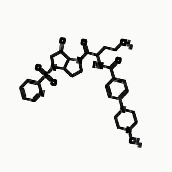 CCCC(NC(=O)c1ccc(N2CCN(C)CC2)cc1)C(=O)N1CCC2C1C(=O)CN2S(=O)(=O)c1ccccn1